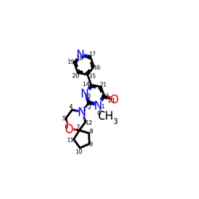 Cn1c(N2CCOC3(CCCC3)C2)nc(-c2ccncc2)cc1=O